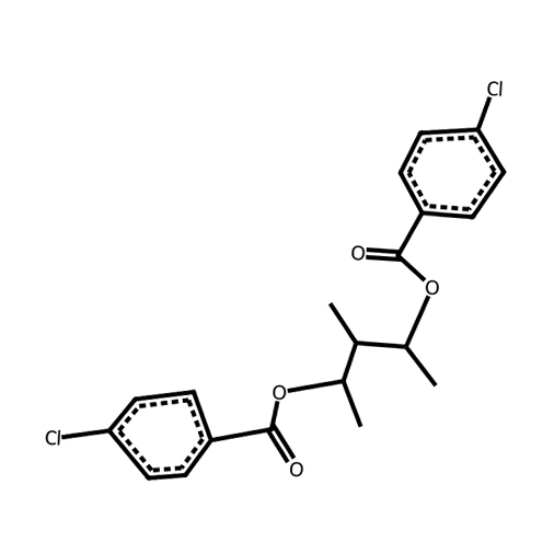 CC(OC(=O)c1ccc(Cl)cc1)C(C)C(C)OC(=O)c1ccc(Cl)cc1